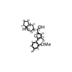 COc1cc(C)ccc1-c1oc(C(O)[C@@H]2CC[C@H]3CCCN3C2)cc1C